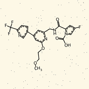 COCCOc1cc(-c2ccc(C(F)(F)F)nc2)cc(CNC(=O)c2cc(F)cn2C(=O)O)n1